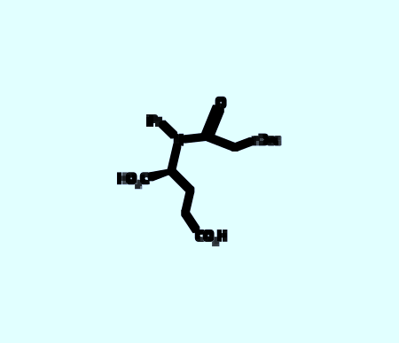 CCCCCCCCCCCC(=O)N(C(C)C)[C@@H](CCC(=O)O)C(=O)O